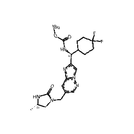 C[C@H]1CN(Cc2cnn3cc([C@@H](NC(=O)OC(C)(C)C)C4CCC(F)(F)CC4)nc3c2)C(=O)N1